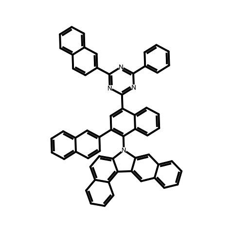 c1ccc(-c2nc(-c3ccc4ccccc4c3)nc(-c3cc(-c4ccc5ccccc5c4)c(-n4c5cc6ccccc6cc5c5c6ccccc6ccc54)c4ccccc34)n2)cc1